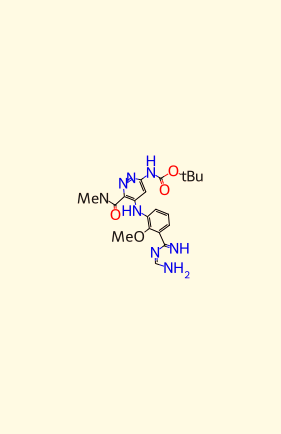 CNC(=O)c1nnc(NC(=O)OC(C)(C)C)cc1Nc1cccc(C(=N)/N=C\N)c1OC